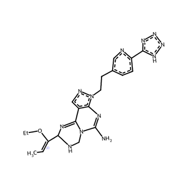 C/C=C(\OCC)C1N=C2c3cnn(CCc4ccc(-c5nnn[nH]5)nc4)c3N=C(N)N2CN1